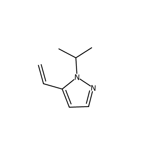 C=Cc1ccnn1C(C)C